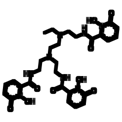 CCN(CCNC(=O)c1cccc(=O)n1O)CCN(CCNC(=O)c1cccc(=O)n1O)CCNC(=O)c1cccc(=O)n1O